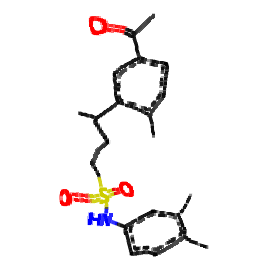 CC(=O)c1ccc(C)c(C(C)CCS(=O)(=O)Nc2ccc(C)c(C)c2)c1